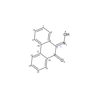 O=C1/C(=N/O)c2ccccc2-c2ccccc21